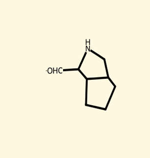 O=[C]C1NCC2CCCC21